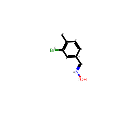 Cc1ccc(C=NO)cc1Br